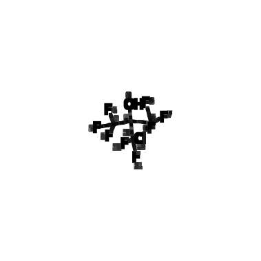 OC(C(F)(F)F)(C(F)(F)F)C(F)(F)Cl